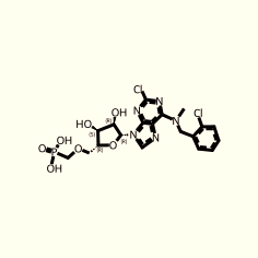 CN(Cc1ccccc1Cl)c1nc(Cl)nc2c1ncn2[C@@H]1O[C@H](COCP(=O)(O)O)[C@@H](O)[C@H]1O